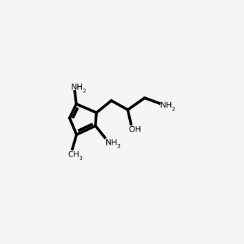 CC1=C(N)C(CC(O)CN)C(N)=C1